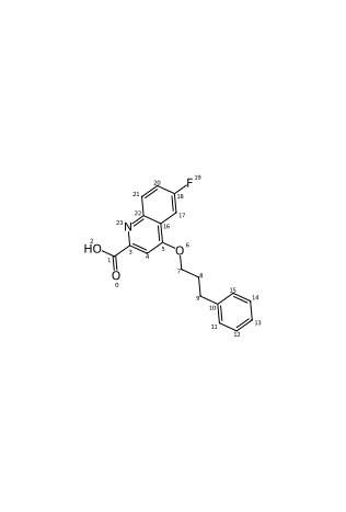 O=C(O)c1cc(OCCCc2ccccc2)c2cc(F)ccc2n1